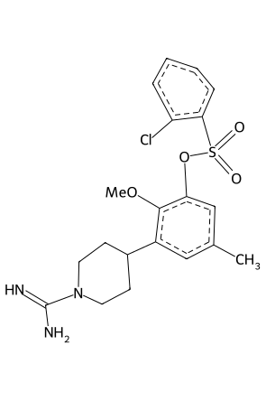 COc1c(OS(=O)(=O)c2ccccc2Cl)cc(C)cc1C1CCN(C(=N)N)CC1